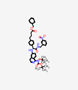 CC(C)(C)OC(=O)N(OC(C)(C)C)c1nccc2cc(NC(C(=O)NCc3cccc([N+](=O)[O-])c3)c3ccc(CCCC(=O)OCc4ccccc4)cc3)ccc12